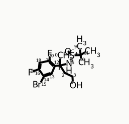 CC(CCO)(N[S+]([O-])C(C)(C)C)c1cc(Br)c(F)cc1F